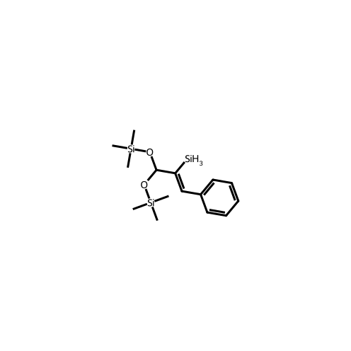 C[Si](C)(C)OC(O[Si](C)(C)C)C([SiH3])=Cc1ccccc1